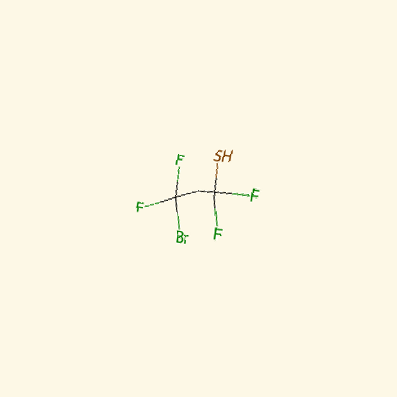 FC(F)(S)C(F)(F)Br